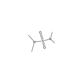 CN(C)S(=O)(=O)N(C)C